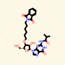 CC(C)C(=O)Nc1nc2c(ncn2[C@@H]2O[C@H](CO)C(OCCCCCCN3C(=O)c4ccccc4C3=O)[C@@H]2O)c(=O)[nH]1